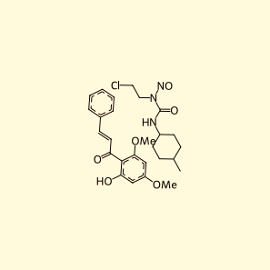 CC1CCC(NC(=O)N(CCCl)N=O)CC1.COc1cc(O)c(C(=O)C=Cc2ccccc2)c(OC)c1